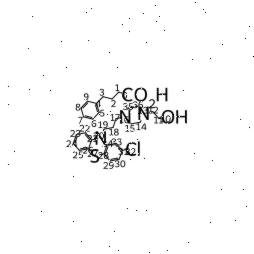 O=C(O)CCCc1ccccc1.OCCN1CCN(CCCN2c3ccccc3Sc3ccc(Cl)cc32)CC1